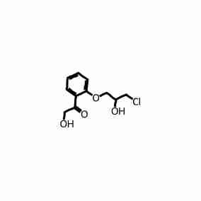 O=C(CO)c1ccccc1OCC(O)CCl